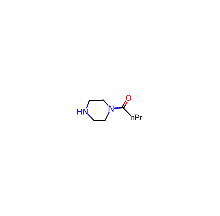 C[CH]CC(=O)N1CCNCC1